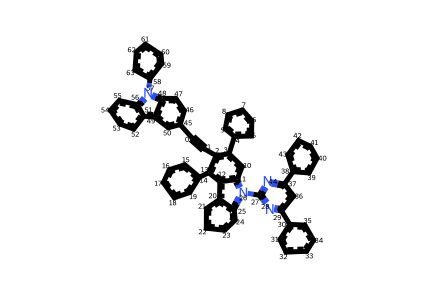 C(#Cc1c(-c2ccccc2)cc2c(c1-c1ccccc1)c1ccccc1n2-c1nc(-c2ccccc2)cc(-c2ccccc2)n1)c1ccc2c(c1)c1ccccc1n2-c1ccccc1